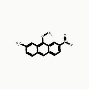 COc1c2cc(C)ccc2cc2ccc([N+](=O)[O-])cc12